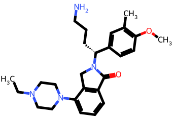 CCN1CCN(c2cccc3c2CN([C@H](CCCN)c2ccc(OC)c(C)c2)C3=O)CC1